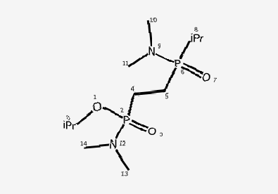 CC(C)OP(=O)(CCP(=O)(C(C)C)N(C)C)N(C)C